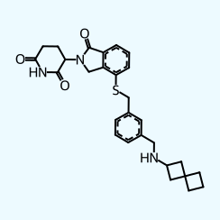 O=C1CCC(N2Cc3c(SCc4cccc(CNC5CC6(CCC6)C5)c4)cccc3C2=O)C(=O)N1